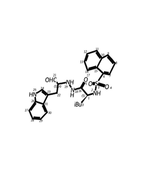 CCC(C)[C@H](NS(=O)(=O)c1cccc2ccccc12)C(=O)NN[C@H](C=O)Cc1c[nH]c2ccccc12